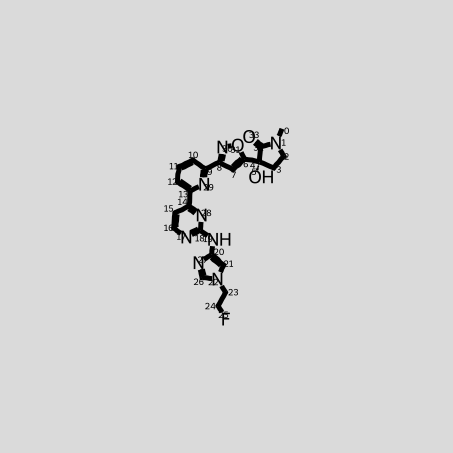 CN1CC[C@@](O)(c2cc(-c3cccc(-c4ccnc(Nc5cn(CCF)cn5)n4)n3)no2)C1=O